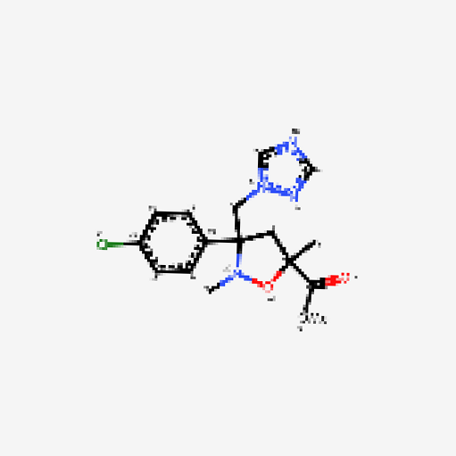 COC(=O)C1(C)CC(Cn2cncn2)(c2ccc(Cl)cc2)N(C)O1